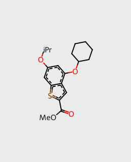 COC(=O)c1cc2c(OC3CCCCC3)cc(OC(C)C)cc2s1